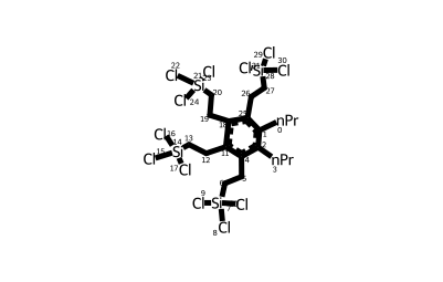 CCCc1c(CCC)c(CC[Si](Cl)(Cl)Cl)c(CC[Si](Cl)(Cl)Cl)c(CC[Si](Cl)(Cl)Cl)c1CC[Si](Cl)(Cl)Cl